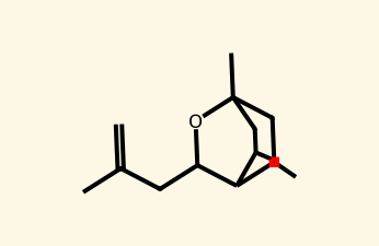 C=C(C)CC1OC2(C)CC(C)C1C(C)C2